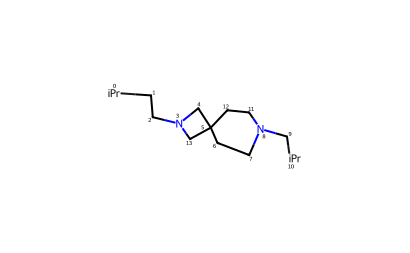 CC(C)CCN1CC2(CCN(CC(C)C)CC2)C1